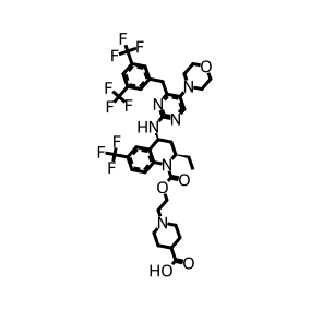 CC[C@@H]1C[C@H](Nc2ncc(N3CCOCC3)c(Cc3cc(C(F)(F)F)cc(C(F)(F)F)c3)n2)c2cc(C(F)(F)F)ccc2N1C(=O)OCCN1CCC(C(=O)O)CC1